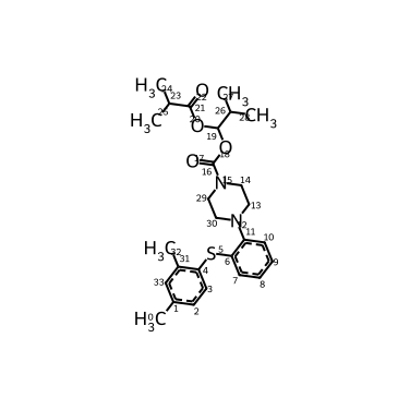 Cc1ccc(Sc2ccccc2N2CCN(C(=O)OC(OC(=O)C(C)C)C(C)C)CC2)c(C)c1